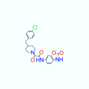 O=C(Nc1ccc2[nH]c(=O)oc2c1)C(=O)N1CCC(Cc2ccc(Cl)cc2)CC1